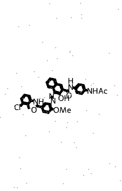 COc1ccc(C(=O)Nc2cccc(Cl)c2C)cc1N=Nc1c(O)c(C(=O)Nc2ccc(NC(C)=O)cc2)cc2ccccc12